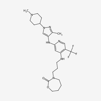 Cc1nn(C2CCN(C)CC2)cc1Nc1cc(NCCCN2CCCCOC2=O)c(C(F)(F)F)cn1